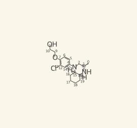 C[C@@H]1CN(c2ccc(OCCO)c(Cl)c2)[C@H]2CCCC[C@@H]2N1